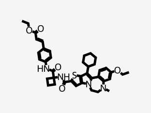 CCOC(=O)/C=C/c1ccc(NC(=O)C2(NC(=O)c3cc4c(s3)c(C3CCCCC3)c3n4CCN(C)c4cc(OCC)ccc4-3)CCC2)cc1